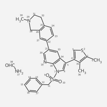 Cc1scc(-c2cn(S(=O)(=O)Cc3ccccc3)c3ncc(-c4ccc5c(c4)CN(C)CC5)cc23)c1C.NC=O